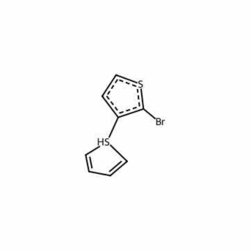 Brc1sccc1[SH]1C=CC=C1